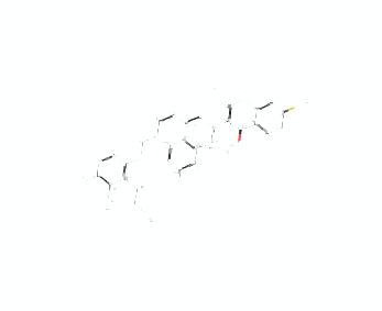 CC(=O)c1ccc(OCC/C=C\C=C\[C@@H](c2c(C(=O)O)oc3c(c2=O)=CCC(=S)C=3)[C@@H](O)c2cccc(C(F)(F)F)c2)c(CCC(F)(F)F)c1O